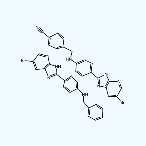 Brc1cnc2[nH]c(-c3ccc(NCc4ccccc4)cc3)nc2c1.N#Cc1ccc(CNc2ccc(-c3nc4cc(Br)cnc4[nH]3)cc2)cc1